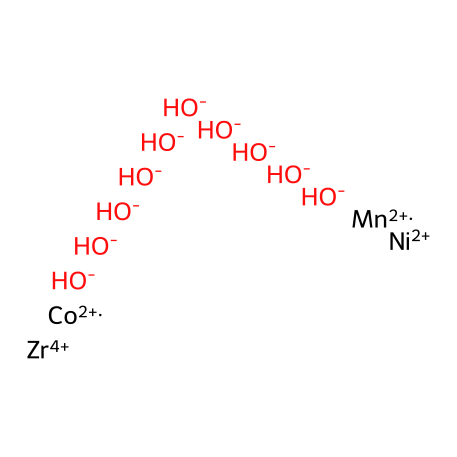 [Co+2].[Mn+2].[Ni+2].[OH-].[OH-].[OH-].[OH-].[OH-].[OH-].[OH-].[OH-].[OH-].[OH-].[Zr+4]